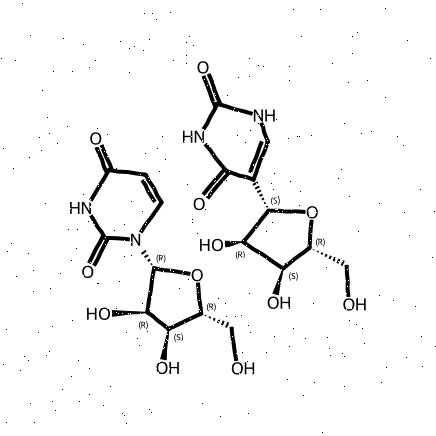 O=c1[nH]cc([C@@H]2O[C@H](CO)[C@@H](O)[C@H]2O)c(=O)[nH]1.O=c1ccn([C@@H]2O[C@H](CO)[C@@H](O)[C@H]2O)c(=O)[nH]1